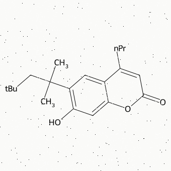 CCCc1cc(=O)oc2cc(O)c(C(C)(C)CC(C)(C)C)cc12